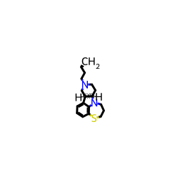 C=CCCN1CC[C@@H]2[C@H](C1)c1cccc3c1N2CCCS3